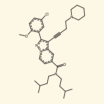 COc1ccc(Cl)cc1-c1nn2ccc(C(=O)N(CCC(C)C)CCC(C)C)cc2c1C#CCCN1CCCCC1